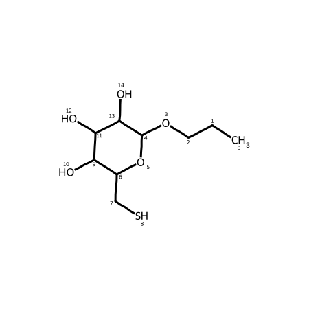 CCCOC1OC(CS)C(O)C(O)C1O